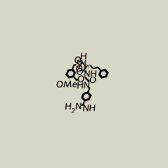 COC(=O)c1cccc(CS(=O)(=O)N[C@H](CCCc2ccccc2)C(=O)NCC(=O)NCc2ccc(C(=N)N)cc2)c1